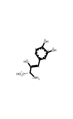 N[C@H](C(=O)O)C(O)=Cc1ccc(O)c(O)c1